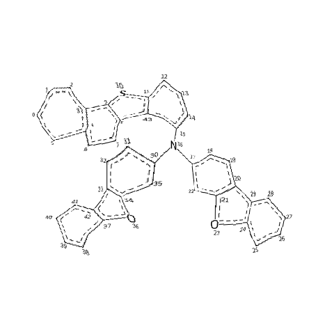 c1ccc2c(c1)ccc1c2sc2cccc(N(c3ccc4c(c3)oc3ccccc34)c3ccc4c(c3)oc3ccccc34)c21